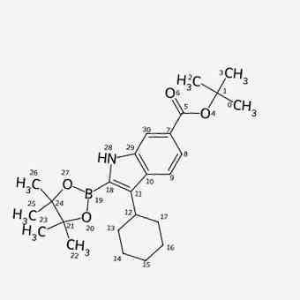 CC(C)(C)OC(=O)c1ccc2c(C3CCCCC3)c(B3OC(C)(C)C(C)(C)O3)[nH]c2c1